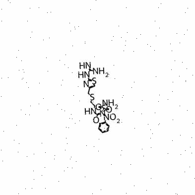 N=C(N)Nc1nc(CSCCNC(=NS(N)(=O)=O)Oc2ccccc2[N+](=O)[O-])cs1